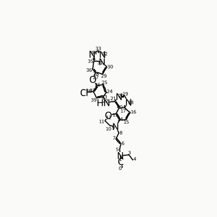 CCN(CC)C/C=C/CN1CCOc2c1ccc1ncnc(Nc3ccc(Oc4ccn5ncnc5c4)c(Cl)c3)c21